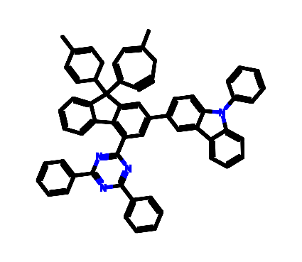 CC1=CCC(C2(C3=CC=C(C)CC#C3)c3ccccc3-c3c(-c4nc(-c5ccccc5)nc(-c5ccccc5)n4)cc(-c4ccc5c(c4)c4ccccc4n5-c4ccccc4)cc32)C=C1